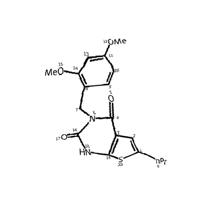 CCCc1cc2c(=O)n(Cc3ccc(OC)cc3OC)c(=O)[nH]c2s1